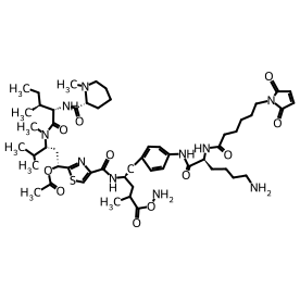 CC[C@H](C)[C@H](NC(=O)[C@H]1CCCCN1C)C(=O)N(C)[C@H](C[C@@H](OC(C)=O)c1nc(C(=O)N[C@@H](Cc2ccc(NC(=O)[C@H](CCCCN)NC(=O)CCCCCN3C(=O)C=CC3=O)cc2)CC(C)C(=O)ON)cs1)C(C)C